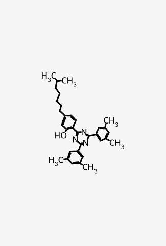 Cc1cc(C)cc(-c2nc(-c3cc(C)cc(C)c3)nc(-c3ccc(CCCCCC(C)C)cc3O)n2)c1